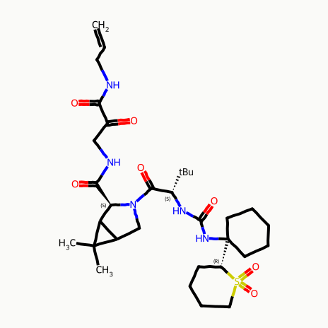 C=CCNC(=O)C(=O)CNC(=O)[C@@H]1C2C(CN1C(=O)[C@@H](NC(=O)NC1([C@H]3CCCCS3(=O)=O)CCCCC1)C(C)(C)C)C2(C)C